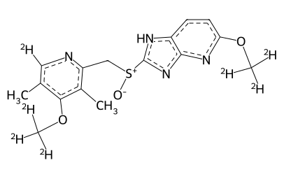 [2H]c1nc(C[S+]([O-])c2nc3nc(OC([2H])([2H])[2H])ccc3[nH]2)c(C)c(OC([2H])([2H])[2H])c1C